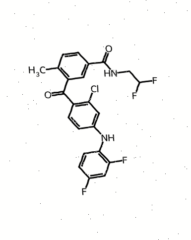 Cc1ccc(C(=O)NCC(F)F)cc1C(=O)c1ccc(Nc2ccc(F)cc2F)cc1Cl